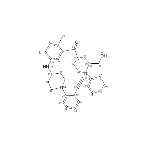 Cc1cc(C)c(C(=O)N2CCN(c3ccccc3)[C@H](CO)C2)cc1NC1CCN(c2ccccc2C#N)CC1